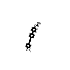 Cc1ccc(C#Cc2ccc(-c3ccc(OCO)cc3)cc2)cc1